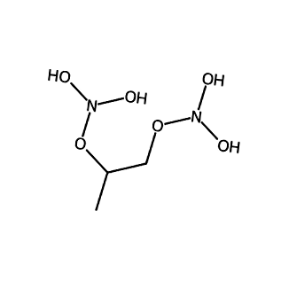 CC(CON(O)O)ON(O)O